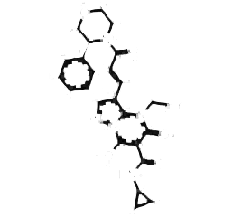 CC(C)Cn1c(=O)c(C(=O)NC2CC2)c(O)n2ncc(/C=C/C(=O)N3CCOC[C@@H]3c3ccccc3)c12